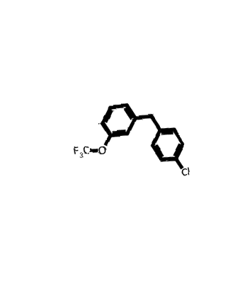 FC(F)(F)Oc1[c]ccc(Cc2ccc(Cl)cc2)c1